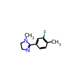 Cc1ccc(C2=NCCN2C)cc1F